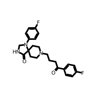 O=C(CCCN1CCC2(CC1)C(=O)NCN2c1ccc(F)cc1)c1ccc(F)cc1